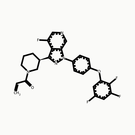 C=CC(=O)N1CCC[C@@H](c2nn(-c3ccc(Oc4cc(F)cc(F)c4F)cc3)c3cncc(F)c23)C1